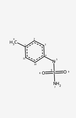 Cc1ccc([N]S(N)(=O)=O)cc1